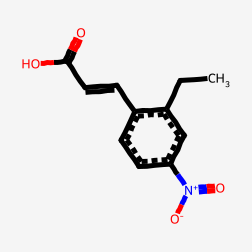 CCc1cc([N+](=O)[O-])ccc1/C=C/C(=O)O